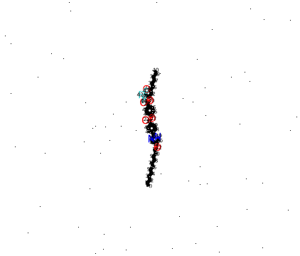 CCCCCCCCCCCCOc1cnc(-c2ccc(C(=O)Oc3ccc(C(=O)OC(CC(=O)CCCCCC)C(F)(F)F)cc3)cc2)nc1